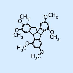 COc1cc(OC)c2c(c1)C1c3c(OC)cc(OC)cc3C13Cc1cc(OC)c(OC)cc1C23